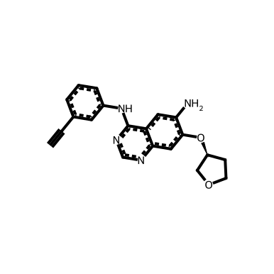 C#Cc1cccc(Nc2ncnc3cc(O[C@H]4CCOC4)c(N)cc23)c1